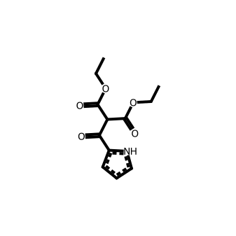 CCOC(=O)C(C(=O)OCC)C(=O)c1ccc[nH]1